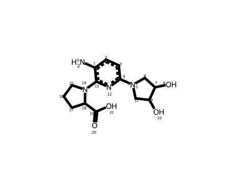 Nc1ccc(N2CC(O)C(O)C2)nc1N1CCCC1C(=O)O